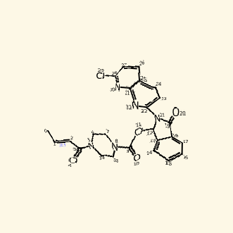 C/C=C/C(=O)N1CCN(C(=O)OC2c3ccccc3C(=O)N2c2ccc3ccc(Cl)nc3n2)CC1